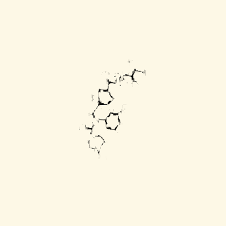 CN1CCN(C(=O)N(Cc2ccc(C(=O)NNC(=O)C(F)F)cn2)c2cccc(F)c2)CC1